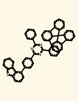 c1ccc(-c2nc(-c3ccc(-c4cccc5sc6ccccc6c45)cc3)nc(-c3ccccc3-c3cccc4c3C3(c5ccccc5-c5ccccc53)c3ccccc3-4)n2)cc1